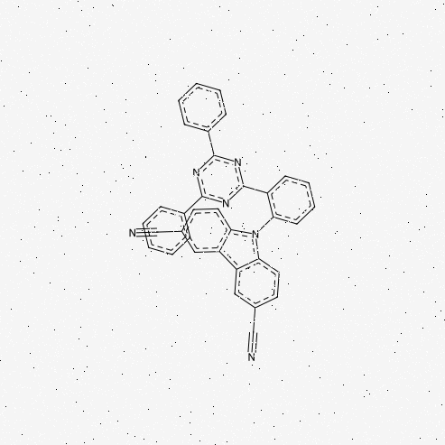 N#Cc1ccc2c(c1)c1cc(C#N)ccc1n2-c1ccccc1-c1nc(-c2ccccc2)nc(-c2ccccc2)n1